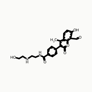 Cc1c(-c2ccc(C(=O)NCCNCCO)cc2)c(=O)oc2c(C=O)c(O)ccc12